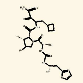 CC(C)C1CN(C(=O)[C@@H](NC(=O)N[C@H](Cc2nccs2)C(C)C)C(C)(C)C)[C@H](C(=O)NC(CC2CCC2)C(=O)C(N)=O)[C@H]1C